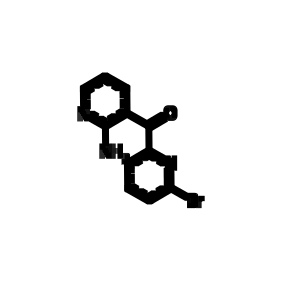 Nc1ncccc1C(=O)c1cccc(Br)n1